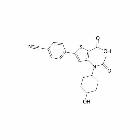 CC(=O)N(c1cc(-c2ccc(C#N)cc2)sc1C(=O)O)C1CCC(O)CC1